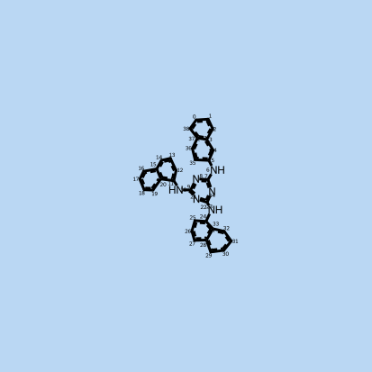 c1ccc2cc(Nc3nc(Nc4cccc5ccccc45)nc(Nc4cccc5ccccc45)n3)ccc2c1